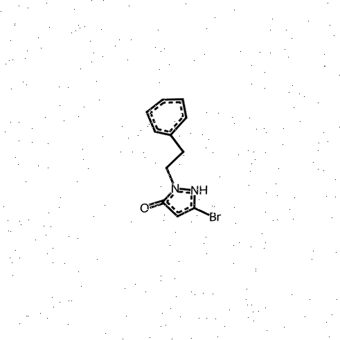 O=c1cc(Br)[nH]n1CCc1ccccc1